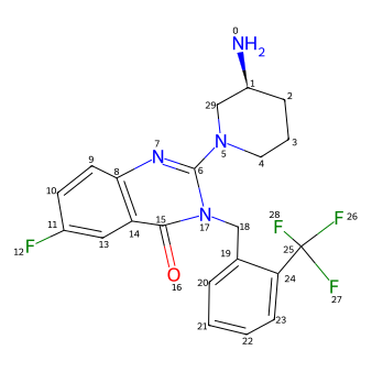 N[C@H]1CCCN(c2nc3ccc(F)cc3c(=O)n2Cc2ccccc2C(F)(F)F)C1